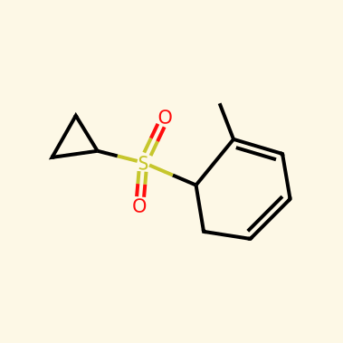 CC1=CC=CCC1S(=O)(=O)C1CC1